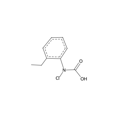 CCc1ccccc1N(Cl)C(=O)O